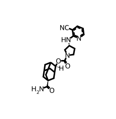 N#Cc1cccnc1N[C@@H]1CCN(C(=O)O[C@H]2C3CC4CC2C[C@@](C(N)=O)(C4)C3)C1